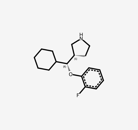 Fc1ccccc1O[C@H](C1CCCCC1)[C@H]1CCNC1